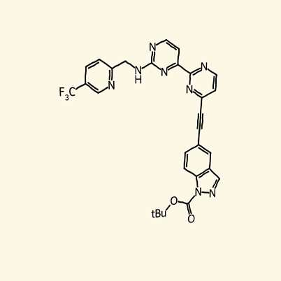 CC(C)(C)OC(=O)n1ncc2cc(C#Cc3ccnc(-c4ccnc(NCc5ccc(C(F)(F)F)cn5)n4)n3)ccc21